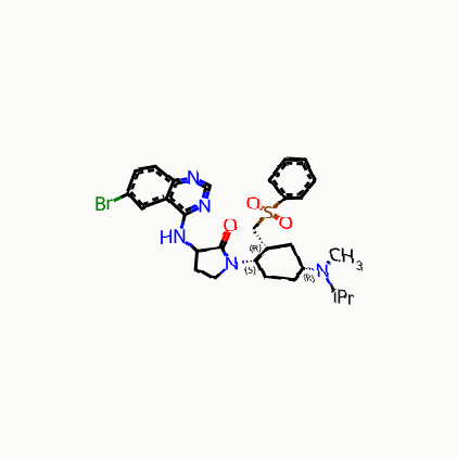 CC(C)N(C)[C@@H]1CC[C@H](N2CCC(Nc3ncnc4ccc(Br)cc34)C2=O)[C@H](CS(=O)(=O)c2ccccc2)C1